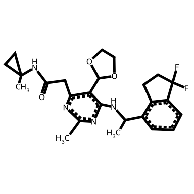 Cc1nc(CC(=O)NC2(C)CC2)c(C2OCCO2)c(NC(C)c2cccc3c2CCC3(F)F)n1